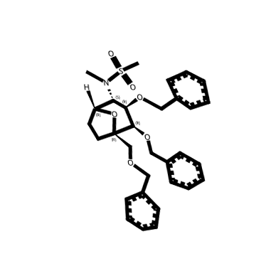 CN([C@@H]1[C@@H](OCc2ccccc2)[C@@H](OCc2ccccc2)[C@]2(COCc3ccccc3)CC[C@H]1O2)S(C)(=O)=O